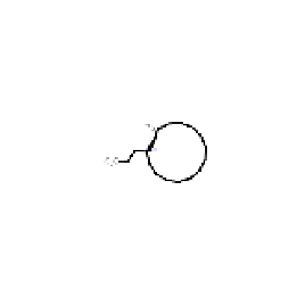 C[C@H]1/C=C(\CCC(=O)O)CCCCCCCCCCCC1